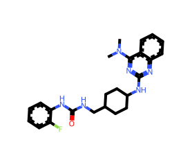 CN(C)c1nc(NC2CCC(CNC(=O)Nc3ccccc3F)CC2)nc2ccccc12